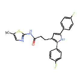 N#Cc1cnc(NC(=O)CCc2cc(-c3ccc(F)cc3)[nH]c2-c2ccc(F)cc2)s1